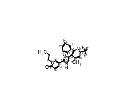 CCCn1cc(C2=N[C@@](c3ccc(F)cc3)(c3ccc(C(F)(F)F)nc3)[C@H](C)N2)ccc1=O